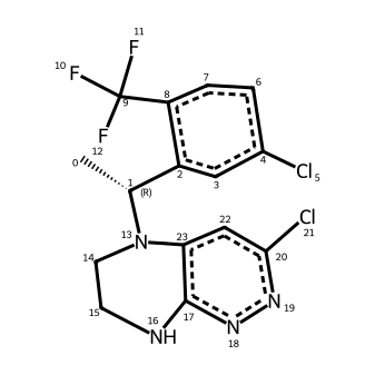 C[C@H](c1cc(Cl)ccc1C(F)(F)F)N1CCNc2nnc(Cl)cc21